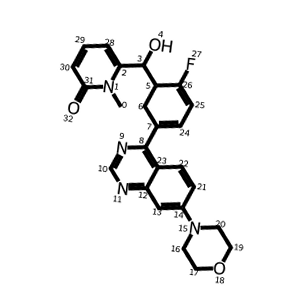 Cn1c(C(O)C2CC(c3ncnc4cc(N5CCOCC5)ccc34)=CC=C2F)cccc1=O